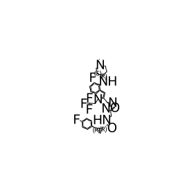 CN1CC[C@@H](Nc2cccc3c2cc(-c2noc(CNC(=O)[C@@H]4C[C@H]4c4ccc(F)cc4)n2)n3CC(F)(F)F)[C@@H](F)C1